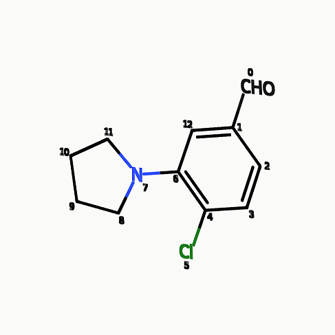 O=Cc1ccc(Cl)c(N2CCCC2)c1